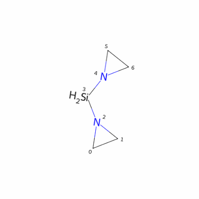 C1CN1[SiH2]N1CC1